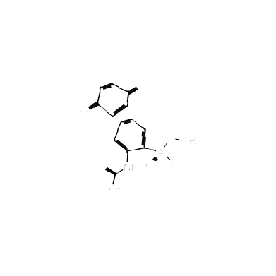 CC(=O)Nc1ccccc1[As](=O)(O)OO.O=C1C=CC(=O)C=C1